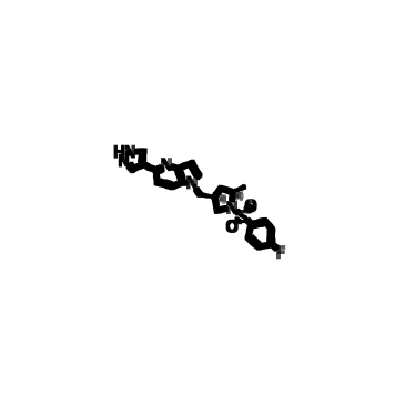 C[C@@H]1C[C@H](Cn2ccc3nc(-c4cn[nH]c4)ccc32)CN1S(=O)(=O)c1ccc(F)cc1